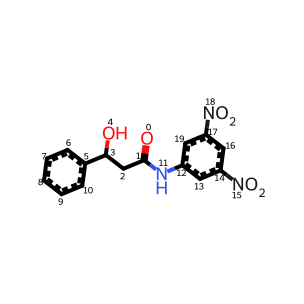 O=C(CC(O)c1ccccc1)Nc1cc([N+](=O)[O-])cc([N+](=O)[O-])c1